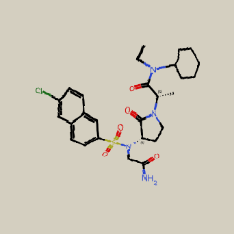 CCN(C(=O)[C@H](C)N1CC[C@H](N(CC(N)=O)S(=O)(=O)c2ccc3cc(Cl)ccc3c2)C1=O)C1CCCCC1